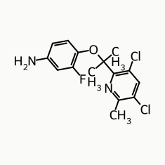 Cc1nc(C(C)(C)Oc2ccc(N)cc2F)c(Cl)cc1Cl